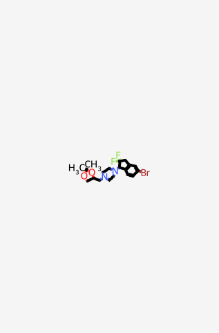 CC1(C)OCC(CN2CCN(C3c4ccc(Br)cc4CC3(F)F)CC2)O1